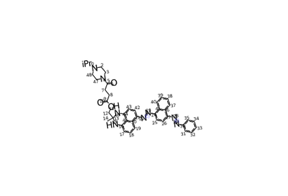 CC(C)N1CCN(C(=O)CCC(=O)OCC2(C)Nc3cccc4c(/N=N/c5ccc(/N=N/c6ccccc6)c6ccccc56)ccc(c34)N2)CC1